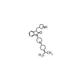 CC(C)=C1CCC(N2CCC(N3C(=O)C(CC4CCNC4)c4ccccc43)CC2)CC1